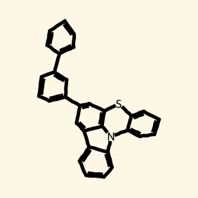 c1ccc(-c2cccc(-c3cc4c5c(c3)c3ccccc3n5-c3ccccc3S4)c2)cc1